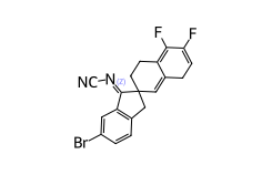 N#C/N=C1\c2cc(Br)ccc2CC12C=C1CC=C(F)C(F)=C1CC2